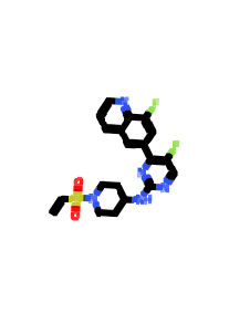 C=CS(=O)(=O)N1CCC(Nc2ncc(F)c(-c3cc(F)c4ncccc4c3)n2)CC1